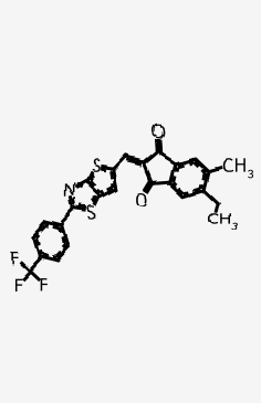 CCc1cc2c(cc1C)C(=O)/C(=C/c1cc3sc(-c4ccc(C(F)(F)F)cc4)nc3s1)C2=O